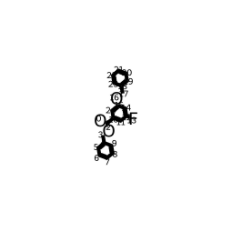 O=C(OCc1ccccc1)c1cc(F)cc(OCc2ccccc2)c1